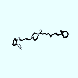 COc1ccccc1OCCCN1CCN(C(=O)CCCCCCCC23CCCCC2C3)CC1